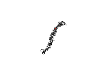 Cc1cc(/N=N/c2ccc(CCO/C=C/C(=O)Cl)cc2)ccc1OC(=O)c1ccc(OC(=O)c2ccc(OCCCCOC(=O)C(CC(C)C)C(C)C)cc2)cc1